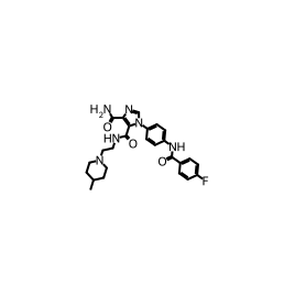 CC1CCN(CCNC(=O)c2c(C(N)=O)ncn2-c2ccc(NC(=O)c3ccc(F)cc3)cc2)CC1